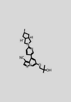 C[C@@H]1C[C@@H]2CN(c3ccc(-c4cc(OCC(C)(C)O)cn5ncc(C#N)c45)cn3)C[C@@H]2C1